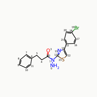 NN(C(=O)CCc1ccccc1)c1nc(-c2ccc(Br)cc2)cs1